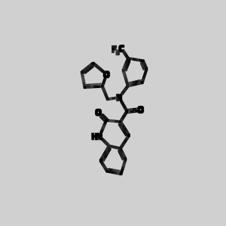 O=C(c1cc2ccccc2[nH]c1=O)N(Cc1ccco1)c1cccc(C(F)(F)F)c1